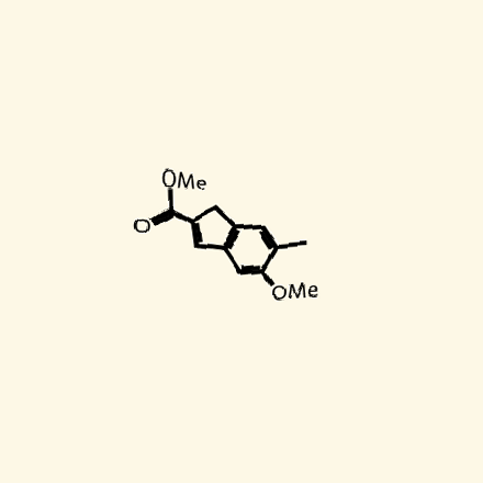 COC(=O)C1=Cc2cc(OC)c(C)cc2C1